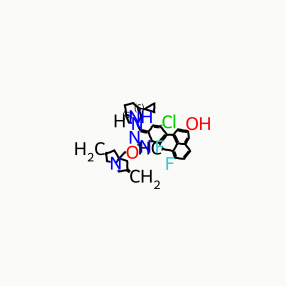 C#Cc1c(F)ccc2cc(O)cc(-c3c(Cl)cc4c(N5C[C@@H]6CC[C@](C7CC7)(C5)N6)nc(OCC56CC(=C)CN5CC(=C)C6)nc4c3F)c12